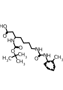 Cc1ccccc1NC(=O)NCCCCC(CC(=O)O)NC(=O)OC(C)(C)C